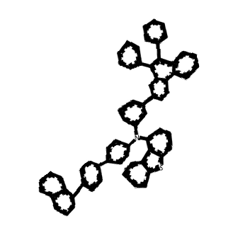 c1ccc(-c2c(-c3ccccc3)c3cc(-c4cccc(N(c5ccc(-c6ccc(-c7cccc8ccccc78)cc6)cc5)c5cccc6sc7ccccc7c56)c4)ccc3c3ccccc23)cc1